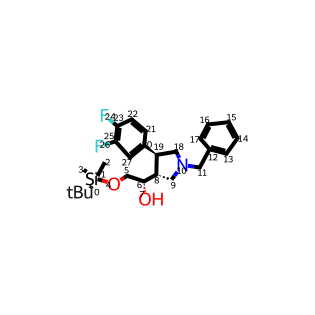 CC(C)(C)[Si](C)(C)OC[C@@H](O)[C@H]1CN(Cc2ccccc2)C[C@@H]1c1ccc(F)c(F)c1